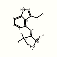 CCc1c[nH]c2cccc(/C=C(/C(=O)O)C(C)(C)C)c12